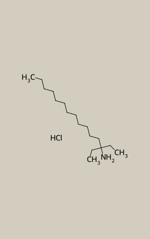 CCCCCCCCCCCCC(N)(CC)CC.Cl